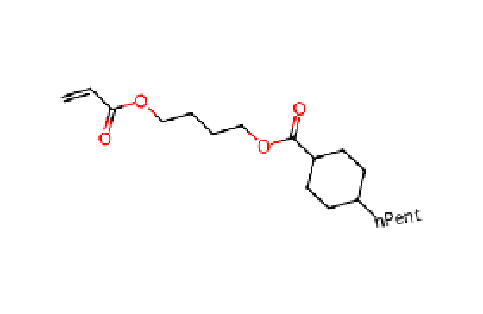 C=CC(=O)OCCCCOC(=O)C1CCC(CCCCC)CC1